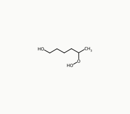 CC(CCCCO)OO